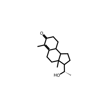 CC1=C2CCC3(C)C(CCC3[C@H](C)O)C2CCC1=O